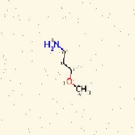 COCC[C]N